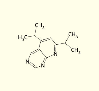 CC(C)c1cc(C(C)C)c2cncnc2n1